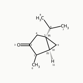 CC1C(=O)C[C@@]2(C(C)C)C[C@@H]12